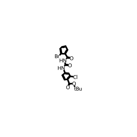 CC(C)(C)OC(=O)c1ccc(NC(=O)NC(=O)c2ccccc2Br)cc1Cl